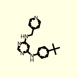 CC(C)(C)c1ccc(Nc2cc(NCc3ccncc3)ncn2)cc1